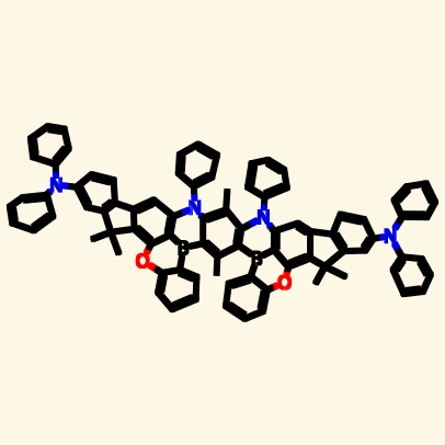 Cc1c2c(c(C)c3c1B1c4ccccc4Oc4c1c(cc1c4C(C)(C)c4cc(N(c5ccccc5)c5ccccc5)ccc4-1)N3c1ccccc1)N(c1ccccc1)c1cc3c(c4c1B2c1ccccc1O4)C(C)(C)c1cc(N(c2ccccc2)c2ccccc2)ccc1-3